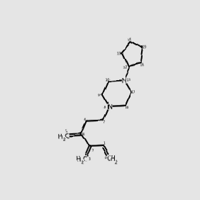 C=CC(=C)C(=C)CCN1CCN(C2CCCC2)CC1